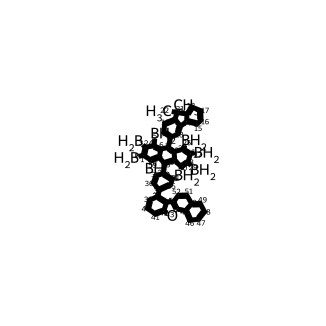 Bc1c(B)c(B)c2c(-c3ccc4c(c3)-c3ccccc3C4(C)C)c3c(B)c(B)c(B)c(B)c3c(-c3ccc(-c4cccc5oc6c7ccccc7ccc6c45)cc3)c2c1B